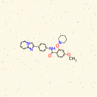 COc1ccc(C(=O)Nc2ccc(-c3cn4ccccc4n3)cc2)c(ON2CCCCC2)c1